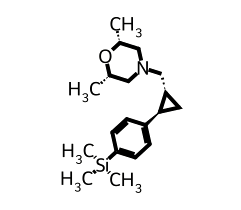 C[C@@H]1CN(C[C@@H]2C[C@H]2c2ccc([Si](C)(C)C)cc2)C[C@H](C)O1